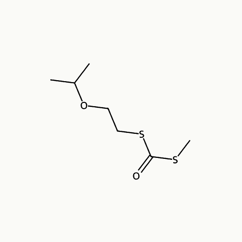 CSC(=O)SCCOC(C)C